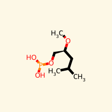 CO[C@H](COP(O)O)CC(C)C